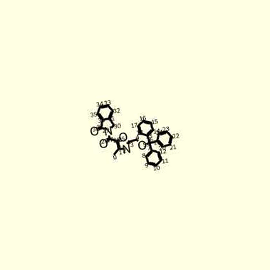 Cc1nc(COC(c2ccccc2)(c2ccccc2)c2ccccc2)oc1C(=O)N1Cc2ccccc2C1=O